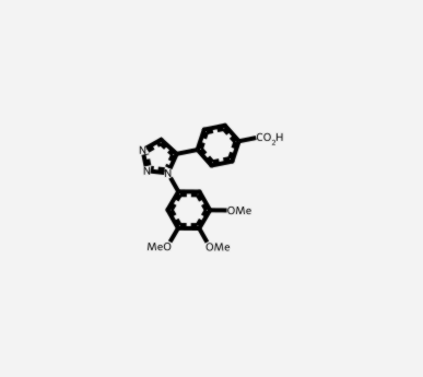 COc1cc(-n2nncc2-c2ccc(C(=O)O)cc2)cc(OC)c1OC